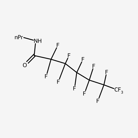 CCCNC(=O)C(F)(F)C(F)(F)C(F)(F)C(F)(F)C(F)(F)C(F)(F)F